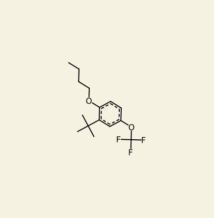 CCCCOc1ccc(OC(F)(F)F)cc1C(C)(C)C